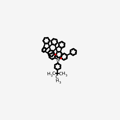 CC(C)(C)c1ccc(N(c2ccc(-c3ccccc3)cc2)c2ccc(-c3cccc4c3C3(c5ccccc5-4)c4ccccc4C4(c5ccccc5-c5ccccc54)c4ccccc43)cc2)cc1